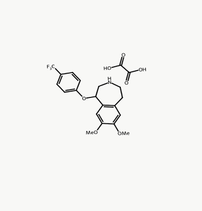 COc1cc2c(cc1OC)C(Oc1ccc(C(F)(F)F)cc1)CNCC2.O=C(O)C(=O)O